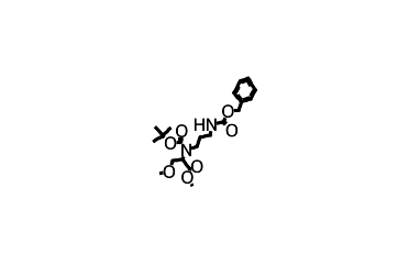 COCC(C(=O)OC)N(CCCNC(=O)OCc1ccccc1)C(=O)OC(C)(C)C